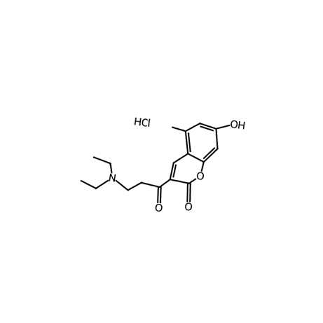 CCN(CC)CCC(=O)c1cc2c(C)cc(O)cc2oc1=O.Cl